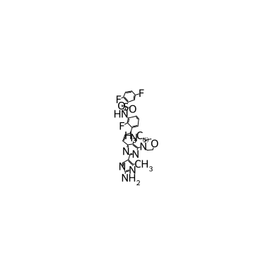 Cc1nc(N)ncc1-c1nc(N2CCOC[C@@H]2C)c2nc(-c3cccc(NS(=O)(=O)c4cc(F)ccc4F)c3F)ccc2n1